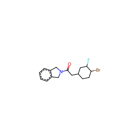 O=C(CC1CCC(Br)C(F)C1)N1Cc2ccccc2C1